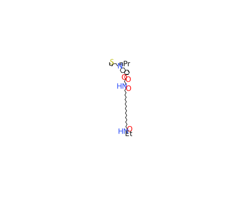 CCCN(CCc1cccs1)[C@@H]1CCc2c(cccc2OC(=O)CCNC(=O)CCCCCCCCCCCCCCCCCC(=O)NCC)C1